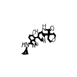 Cc1ccc2c(NC3CC3)noc2c1-c1cnc2c(c1)NC(=O)C21CCOCC1